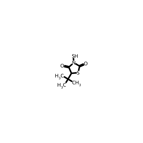 CC(C)(C)C1SC(=O)N(S)C1=O